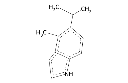 Cc1c(C(C)C)ccc2[nH]ccc12